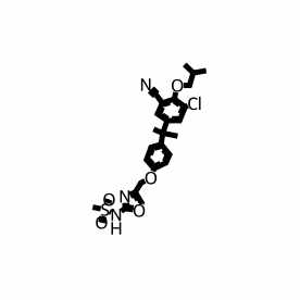 CC(C)COc1c(Cl)cc(C(C)(C)c2ccc(OCc3coc(NS(C)(=O)=O)n3)cc2)cc1C#N